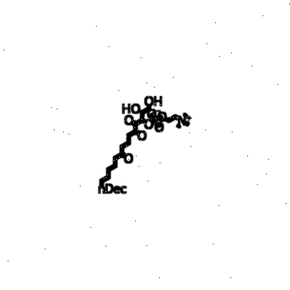 CCCCCCCCCCCCCCCC(=O)CCCC(=O)C(=O)C(OP(=O)([O-])OCC[N+](C)(C)C)[C@@H](O)CO